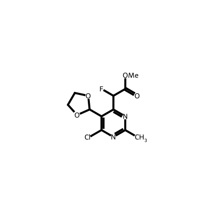 COC(=O)C(F)c1nc(C)nc(Cl)c1C1OCCO1